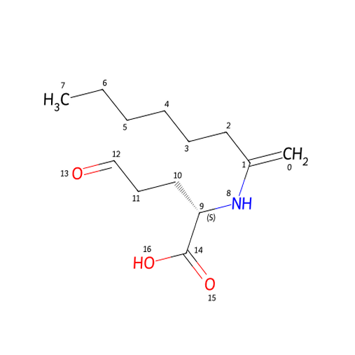 C=C(CCCCCC)N[C@@H](CCC=O)C(=O)O